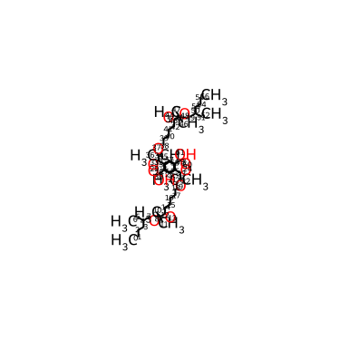 CCCCC(CC)COC(C)(C)C(=O)CCCCCOC(C)(C)C(=O)c1cc(C(=O)O)c(C(=O)C(C)(C)OCCCCCC(=O)C(C)(C)OCC(CC)CCCC)cc1C(=O)O